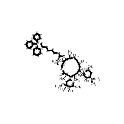 CC[C@H]1OC(=O)[C@H](C)[C@@H](C2C[C@@](C)(OC)[C@@H](O)[C@H](C)O2)[C@H](C)[C@@H](O[C@@H]2O[C@H](C)C[C@H](N(C)C)[C@H]2O)[C@](C)(O)C[C@@H](C)CN(C)[C@H](C)[C@@H](OC(=O)NCCCCCC[PH](c2ccccc2)(c2ccccc2)c2ccccc2)[C@]1(C)O